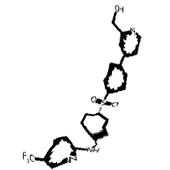 O=S(=O)(c1ccc(-c2ccnc(CO)c2)cc1)[C@H]1CC[C@H](Nc2ccc(C(F)(F)F)cn2)CC1